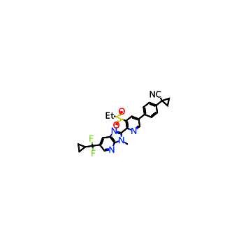 CCS(=O)(=O)c1cc(-c2ccc(C3(C#N)CC3)cc2)cnc1-c1nc2cc(C(F)(F)C3CC3)cnc2n1C